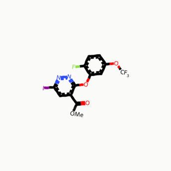 COC(=O)c1cc(I)nnc1Oc1cc(OC(F)(F)F)ccc1F